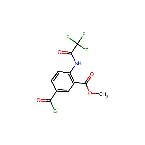 COC(=O)c1cc(C(=O)Cl)ccc1NC(=O)C(F)(F)F